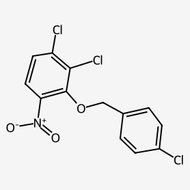 O=[N+]([O-])c1ccc(Cl)c(Cl)c1OCc1ccc(Cl)cc1